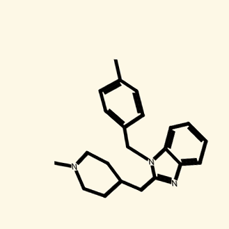 Cc1ccc(Cn2c(CC3CCN(C)CC3)nc3ccccc32)cc1